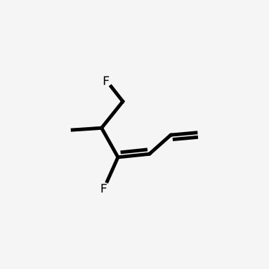 C=C/C=C(/F)C(C)CF